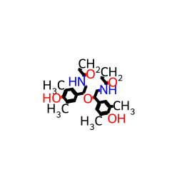 C=CC(=O)NCC(OC(CNC(=O)C=C)c1cc(C)c(O)c(C)c1)c1cc(C)c(O)c(C)c1